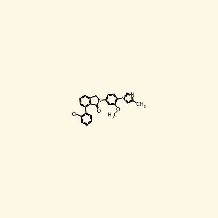 COc1cc(N2Cc3cccc(-c4ccccc4Cl)c3C2=O)ccc1-n1cnc(C)c1